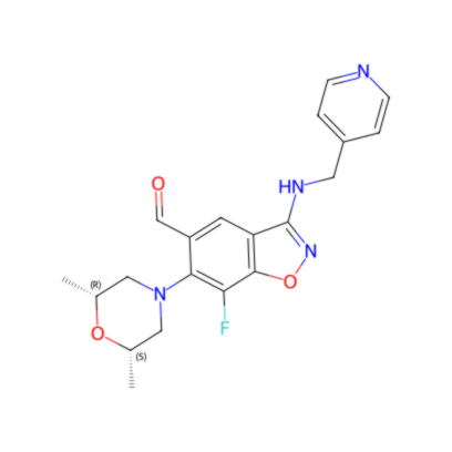 C[C@@H]1CN(c2c(C=O)cc3c(NCc4ccncc4)noc3c2F)C[C@H](C)O1